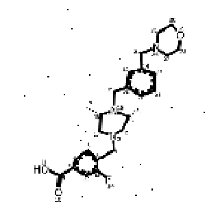 C[C@@H]1CN(Cc2ccc(C(=O)O)cc2F)C[C@H](C)N1Cc1cccc(CN2CCOCC2)c1